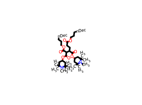 CCCCCCCCCCCCCOC(=O)CCC(C(=O)OC1CC(C)(C)N(C)C(C)(C)C1)C(C(=O)OCCCCCCCCCCCCC)C(=O)OC1CC(C)(C)N(C)C(C)(C)C1